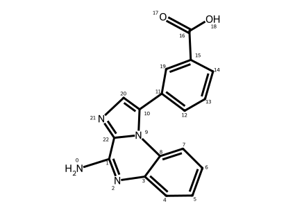 Nc1nc2ccccc2n2c(-c3cccc(C(=O)O)c3)cnc12